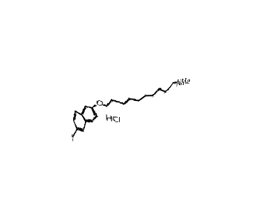 CNCCCCCCCCCCOc1ccc2cc(I)ccc2c1.Cl